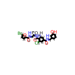 O=C(NCc1cccc(O)c1)c1ccc(C(=O)N[C@@H](CNC(=O)c2ccc(Br)o2)C(=O)O)c(Cl)c1